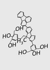 CC1(CCc2cc(CO)c(O)c(CO)c2)c2cc(-c3cc(CO)c(O)c(CO)c3)ccc2-c2ccc(-c3ccc4c5c(cccc35)-c3ccccc3-4)cc21